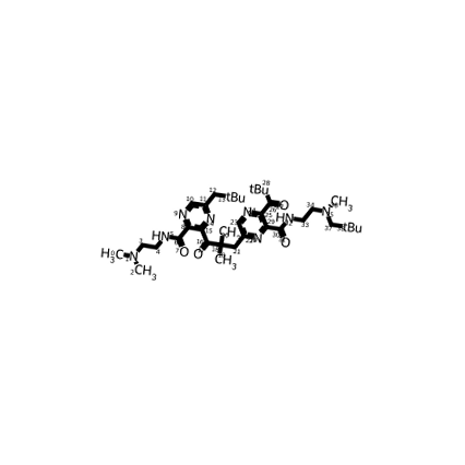 CN(C)CCNC(=O)c1ncc(CC(C)(C)C)nc1C(=O)C(C)(C)Cc1cnc(C(=O)C(C)(C)C)c(C(=O)NCCN(C)CC(C)(C)C)n1